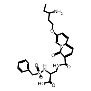 CCC(N)CCOc1ccc2ccc(C(=O)NCC(NS(=O)(=O)Cc3ccccc3)C(=O)O)c(=O)n2c1